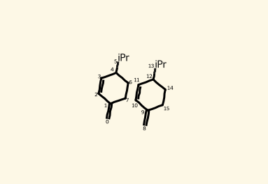 C=C1C=CC(C(C)C)CC1.C=C1C=CC(C(C)C)CC1